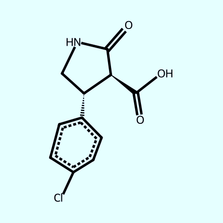 O=C(O)[C@@H]1C(=O)NC[C@H]1c1ccc(Cl)cc1